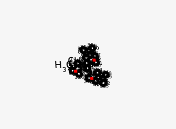 C[Si]1(C)c2ccccc2-c2c1ccc1c2N(c2ccccc2)c2cc(N(c3ccccc3)c3cccc4c3-c3ccccc3C43c4ccccc4-c4ccccc43)cc3c2B1c1ccc2c(c1N3c1ccccc1)-c1ccccc1C21c2ccccc2-c2ccccc21